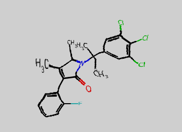 CC1=C(c2ccccc2F)C(=O)N(C(C)(C)c2cc(Cl)c(Cl)c(Cl)c2)C1C